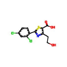 O=C(O)c1sc(-c2ccc(Cl)cc2Cl)nc1CCO